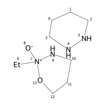 C1CCNNC1.CC[N+]1([O-])NCCCO1